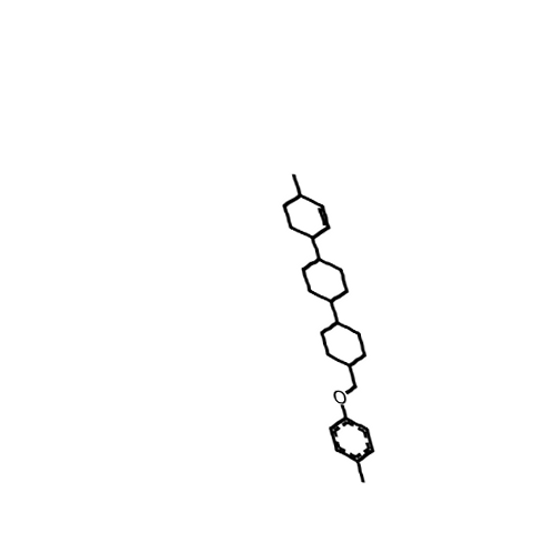 Cc1ccc(OCC2CCC(C3CCC(C4C=CC(C)CC4)CC3)CC2)cc1